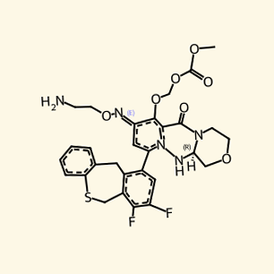 COC(=O)OCOc1c2n(c(-c3cc(F)c(F)c4c3Cc3ccccc3SC4)c/c1=N\OCCN)N[C@@H]1COCCN1C2=O